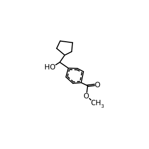 COC(=O)c1ccc(C(O)C2CCCC2)cc1